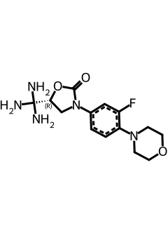 NC(N)(N)[C@H]1CN(c2ccc(N3CCOCC3)c(F)c2)C(=O)O1